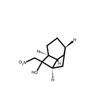 O=[N+]([O-])CC1(O)[C@@H]2C[C@@H]3CC[C@H]1[C@H]2C3